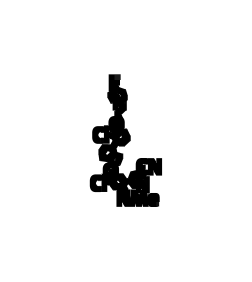 CNCc1cc(Cl)c(O[C@H]2CCc3c(-c4cccc(OCCCN5CCC(F)CC5)c4Cl)cccc32)cc1-c1cncc(C#N)c1